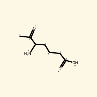 CC(=O)C(N)CCCC(=O)O